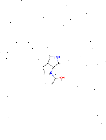 CC(O)N1[CH]CC2CNCC21